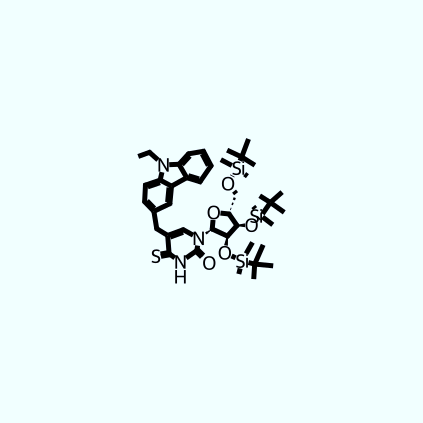 CCn1c2ccccc2c2cc(Cc3cn([C@@H]4O[C@H](CO[Si](C)(C)C(C)(C)C)[C@@H](O[Si](C)(C)C(C)(C)C)[C@H]4O[Si](C)(C)C(C)(C)C)c(=O)[nH]c3=S)ccc21